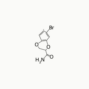 NC(=O)C1COc2c[c]c(Br)cc2O1